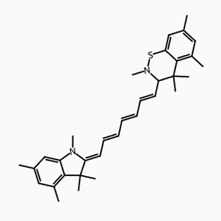 Cc1cc(C)c2c(c1)SN(C)C(/C=C/C=C/C=C/C=C1\N(C)c3cc(C)cc(C)c3C1(C)C)C2(C)C